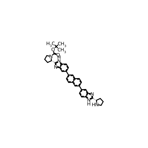 CC(C)(C)OC(=O)N1CCC[C@H]1c1nc2cc(-c3ccc4cc(-c5ccc6[nH]c([C@@H]7CCCN7)nc6c5)ccc4c3)ccc2[nH]1